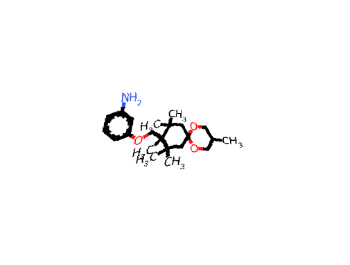 CC1COC2(CC(C)(C)C(C)(COc3cccc(N)c3)C(C)(C)C2)OC1